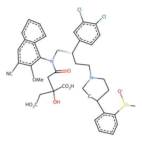 COc1c(C#N)cc2ccccc2c1N(C[C@@H](CCN1CCC(c2ccccc2[S+](C)[O-])CC1)c1ccc(Cl)c(Cl)c1)C(=O)CC(O)(CC(=O)O)C(=O)O